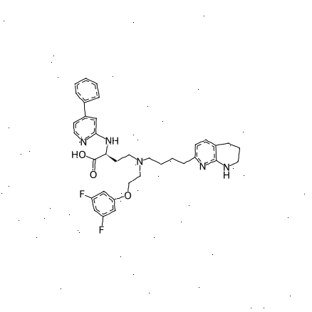 O=C(O)[C@H](CCN(CCCCc1ccc2c(n1)NCCC2)CCOc1cc(F)cc(F)c1)Nc1cc(-c2ccccc2)ccn1